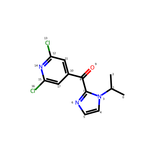 CC(C)n1ccnc1C(=O)c1cc(Cl)nc(Cl)c1